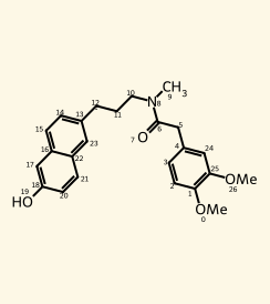 COc1ccc(CC(=O)N(C)CC[CH]c2ccc3cc(O)ccc3c2)cc1OC